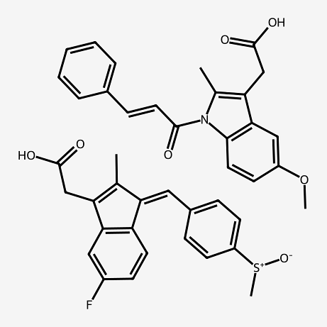 CC1=C(CC(=O)O)c2cc(F)ccc2/C1=C\c1ccc([S+](C)[O-])cc1.COc1ccc2c(c1)c(CC(=O)O)c(C)n2C(=O)/C=C/c1ccccc1